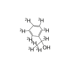 [2H]c1c([2H])c([2H])c(C([2H])(O)C([2H])([2H])[2H])c([2H])c1[2H]